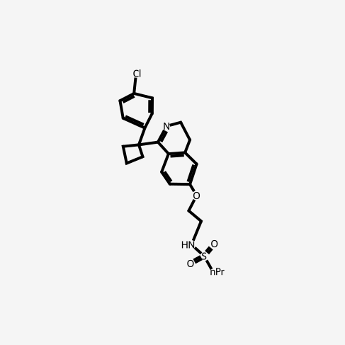 CCCS(=O)(=O)NCCOc1ccc2c(c1)CCN=C2C1(c2ccc(Cl)cc2)CCC1